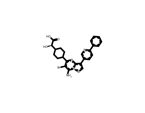 Nc1c(Br)c(C2CCC([C@@H](O)C(=O)O)CC2)nc2c(-c3ccc(-c4ccccc4)nc3)cnn12